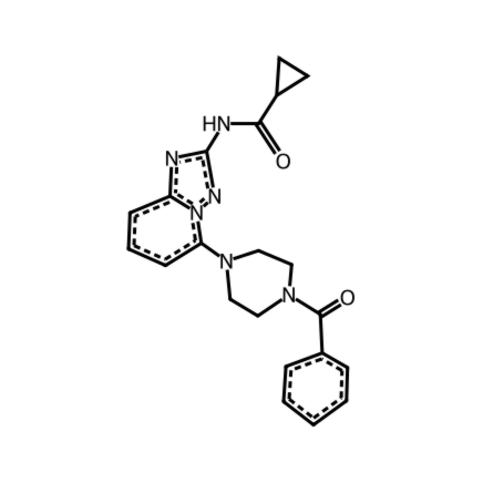 O=C(Nc1nc2cccc(N3CCN(C(=O)c4ccccc4)CC3)n2n1)C1CC1